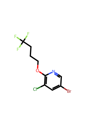 FC(F)(F)CCCOc1ncc(Br)cc1Cl